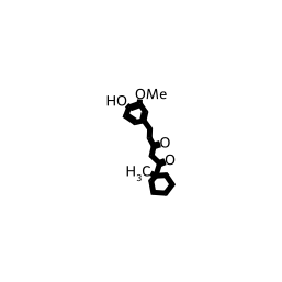 COc1cc(CCC(=O)CC(=O)C2(C)CCCCC2)ccc1O